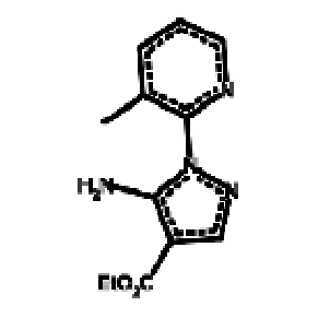 CCOC(=O)c1cnn(-c2ncccc2C)c1N